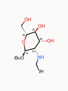 CC(C)CN[C@@H]1[C@@H](OCC(C)C)O[C@H](CO)[C@@H](O)[C@@H]1O